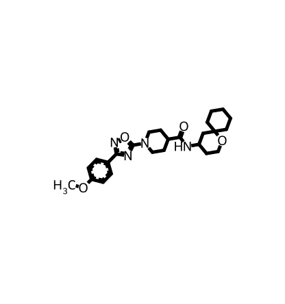 COc1ccc(-c2noc(N3CCC(C(=O)NC4CCOC5(CCCCC5)C4)CC3)n2)cc1